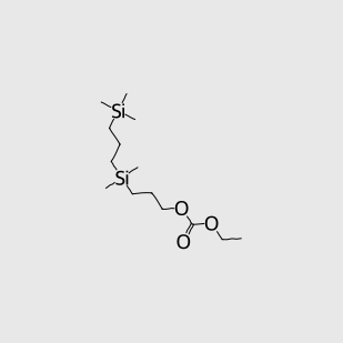 CCOC(=O)OCCC[Si](C)(C)CCC[Si](C)(C)C